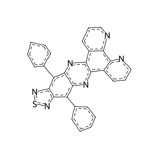 c1ccc(-c2c3nsnc3c(-c3ccccc3)c3nc4c5cccnc5c5ncccc5c4nc23)cc1